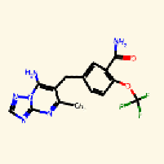 Cc1nc2ncnn2c(N)c1Cc1ccc(OC(F)(F)F)c(C(N)=O)c1